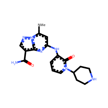 CNc1cc(Nc2cccn(C3CCNCC3)c2=O)nc2c(C(N)=O)cnn12